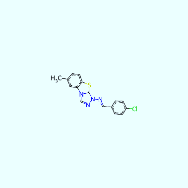 Cc1ccc2c(c1)N1C=NN(N=Cc3ccc(Cl)cc3)C1S2